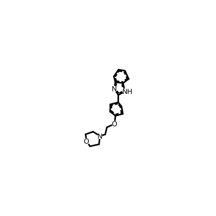 c1ccc2[nH]c(-c3ccc(OCCN4CCOCC4)cc3)nc2c1